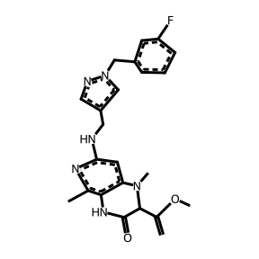 C=C(OC)C1C(=O)Nc2c(cc(NCc3cnn(Cc4cccc(F)c4)c3)nc2C)N1C